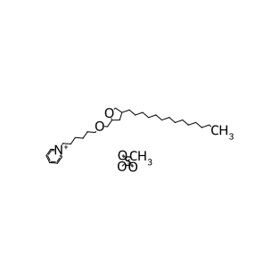 CCCCCCCCCCCCCCC1COC(COCCCCCC[n+]2ccccc2)C1.CS(=O)(=O)[O-]